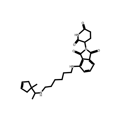 CC(NCCCCCCNc1cccc2c1C(=O)N(C1CCC(=O)NC1=O)C2=O)C1(C)CC=CC1